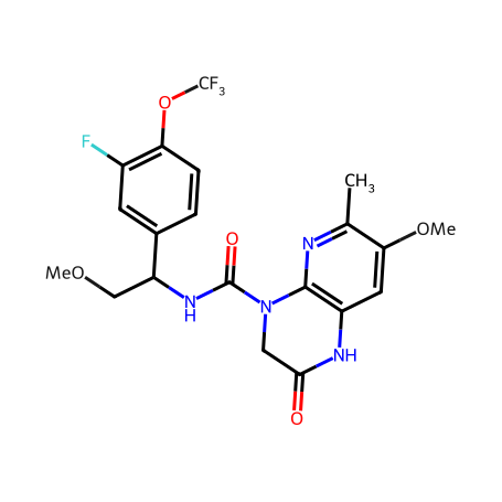 COCC(NC(=O)N1CC(=O)Nc2cc(OC)c(C)nc21)c1ccc(OC(F)(F)F)c(F)c1